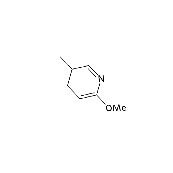 COC1=CCC(C)C=N1